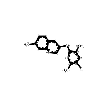 Cc1ccc2cc(Nc3nc(C)c(F)cc3C)cnc2c1